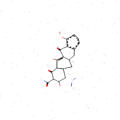 CCCCOc1cccc2c1C(=O)C1=C(O)[C@]3(O)C(=O)C(C(N)=O)C(O)[C@@H](N(C)C)[C@@H]3C[C@@H]1C2